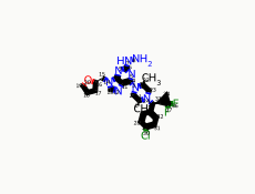 C[C@@H]1CN(c2nc(NN)nc3c2ncn3C[C@@H]2CCCO2)[C@@H](C)CN1C(c1ccc(Cl)cc1)[C@H]1CC1(F)F